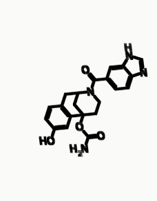 NC(=O)OC12CCN(C(=O)c3ccc4nc[nH]c4c3)C(Cc3ccc(O)cc31)C2